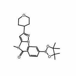 Cn1c(=O)c2ccc(B3OC(C)(C)C(C)(C)O3)cc2n2nc(C3CCOCC3)cc12